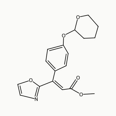 COC(=O)/C=C(\c1ccc(OC2CCCCO2)cc1)c1ncco1